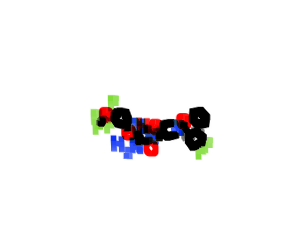 Nc1c(Oc2ccc(F)c(OC(F)(F)F)c2)ncn(CC2(O)CCN(C(=O)[C@@H]3CCC(F)(F)C[C@H]3c3ccccc3)CC2)c1=O